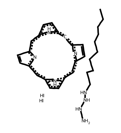 C1=Cc2cc3ccc(cc4nc(cc5ccc(cc1n2)[nH]5)C=C4)[nH]3.CCCCCCCCCCNNNN.I.I